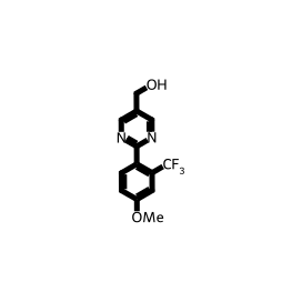 COc1ccc(-c2ncc(CO)cn2)c(C(F)(F)F)c1